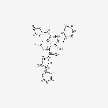 CC(C)CN(CC(O)C(Cc1ccccc1)NC(=O)OC1CCOC1)C(=O)C1CN(c2ccccc2)C(=O)O1